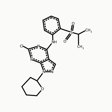 CC(C)S(=O)(=O)c1ccccc1Nc1nc(Cl)nc2c1cnn2C1CCCCO1